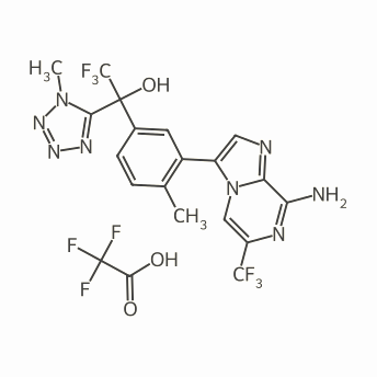 Cc1ccc(C(O)(c2nnnn2C)C(F)(F)F)cc1-c1cnc2c(N)nc(C(F)(F)F)cn12.O=C(O)C(F)(F)F